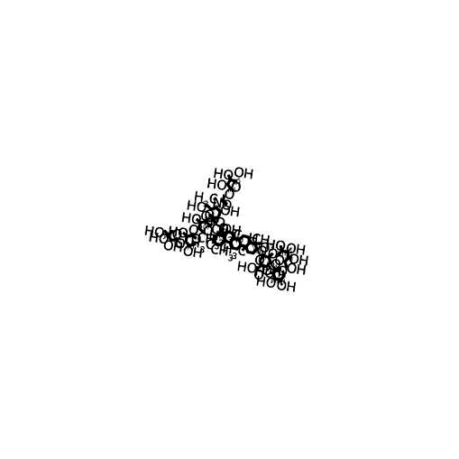 CC1O[C@@H](C2(OC(=O)[C@]34CCC(C)(C)CC3C3=CCC5C6(C)CC[C@H](O[C@@H]7OC(C(=O)O)[C@@H](O)[C@H](O[C@@H]8OC[C@@H](O)[C@H](O)C8O)C7O[C@@H]7OC(CO)[C@H](O)[C@H](O)C7O)[C@](C)(C=O)[C@@H]6CC[C@]5(C)[C@]3(C)CC4O)OC3C(O)[C@@H](N(C)C(=O)CO[C@@H]4O[C@@H](CO)C(O)C4O)C(CO)O[C@H]32)C(O)C(O)[C@H]1O[C@@H]1OC[C@@H](O)C(O[C@@H]2OC[C@](O)(CO)C2O)C1O